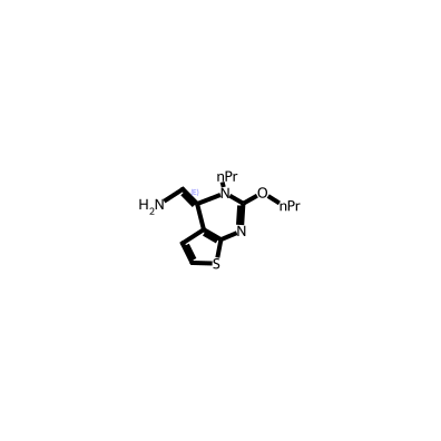 CCCOC1=Nc2sccc2/C(=C\N)N1CCC